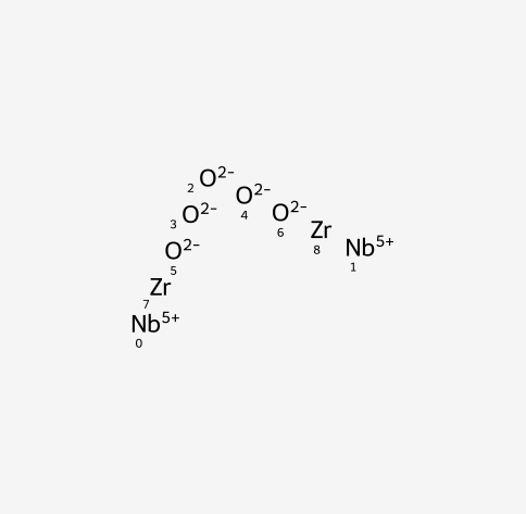 [Nb+5].[Nb+5].[O-2].[O-2].[O-2].[O-2].[O-2].[Zr].[Zr]